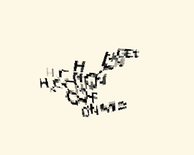 CCOc1ncc(-c2cc(NC[C@@H](C)C(C)c3cccc4c(C(=O)NC)c(F)cnc34)ncn2)cn1